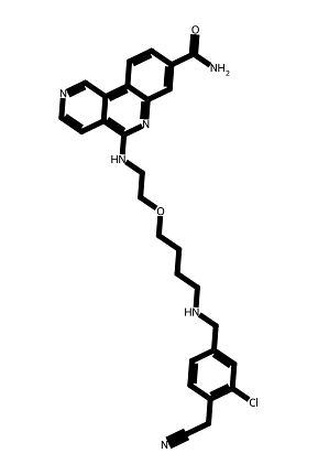 N#CCc1ccc(CNCCCCOCCNc2nc3cc(C(N)=O)ccc3c3cnccc23)cc1Cl